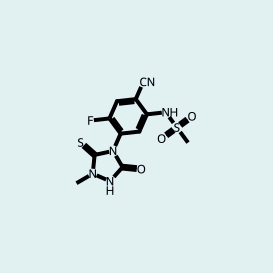 Cn1[nH]c(=O)n(-c2cc(NS(C)(=O)=O)c(C#N)cc2F)c1=S